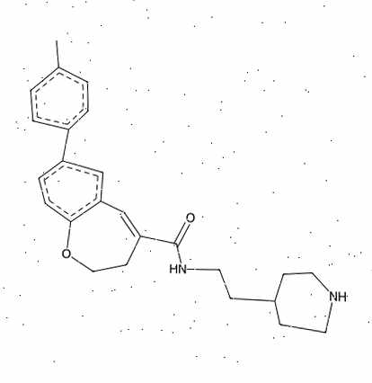 Cc1ccc(-c2ccc3c(c2)C=C(C(=O)NCCC2CCNCC2)CCO3)cc1